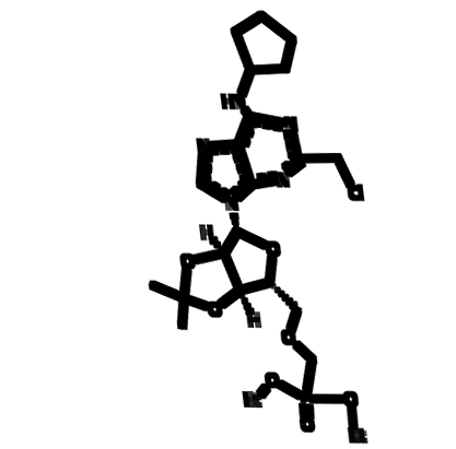 CCOP(=O)(COC[C@H]1O[C@@H](n2cnc3c(NC4CCCC4)nc(CCl)nc32)[C@@H]2OC(C)(C)O[C@@H]21)OCC